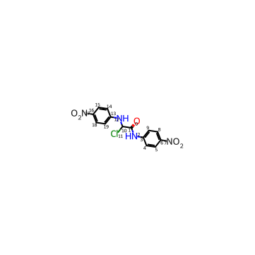 O=C(Nc1ccc([N+](=O)[O-])cc1)C(Cl)Nc1ccc([N+](=O)[O-])cc1